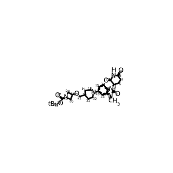 Cn1c(=O)n(C2CCC(=O)NC2=O)c2ccc(N3CCC(COC4CN(C(=O)OC(C)(C)C)C4)CC3)cc21